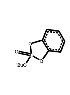 CC(C)COP1(=O)Oc2ccccc2O1